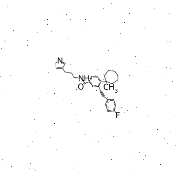 CC1(c2ccc(C(=O)NCCCC3=CCN=C3)cc2C#Cc2ccc(F)cc2)CCCCCC1